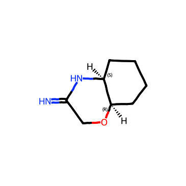 N=C1CO[C@@H]2CCCC[C@@H]2N1